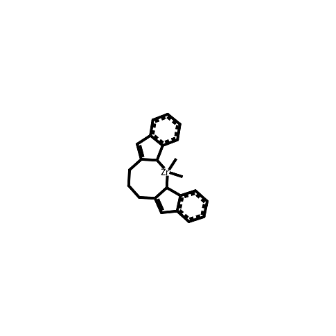 [CH3][Zr]1([CH3])[CH]2C(=Cc3ccccc32)CCCC2=Cc3ccccc3[CH]21